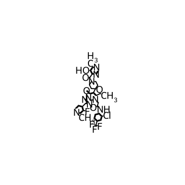 Cc1ncnc(C(=O)N2CCC3(CC2)OC(C)c2c3c(=O)n3nc(-c4ccnc(C)c4F)nc3n2CC(=O)Nc2ccc(C(F)(F)F)cc2Cl)c1O